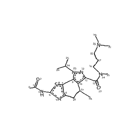 CC(=O)Nc1nc2c(s1)-c1c(c(C(=O)N(C)CCCN(C)C)nn1C(C)C)C(C)C2